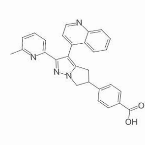 Cc1cccc(-c2nn3c(c2-c2ccnc4ccccc24)CC(c2ccc(C(=O)O)cc2)C3)n1